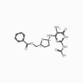 CC(C)C(=O)Nc1nc(N[C@H]2CC[C@@H](COC(=O)c3ccccc3)S2)c(N)c(=O)[nH]1